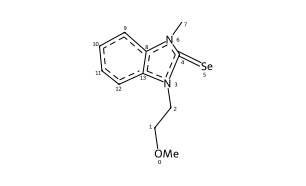 COCCn1c(=[Se])n(C)c2ccccc21